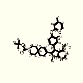 Cc1ccnc(Oc2ccc(-c3c(C4=CCC5(CC4)CCN(C(=O)OC(C)(C)C)CC5)n(C)c4ncnc(N)c34)cc2F)c1